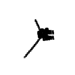 CCCCCCCCCCCCCCCCCCCCCCCCCC(=O)N[C@@H](CO[C@H]1O[C@@H](COC(C)=O)[C@@H](CC(=O)O)[C@H](CC(=O)O)[C@H]1CC(=O)O)[C@H](OC(C)=O)[C@@H](CCCCCCCCCCCCCC)OC(C)=O